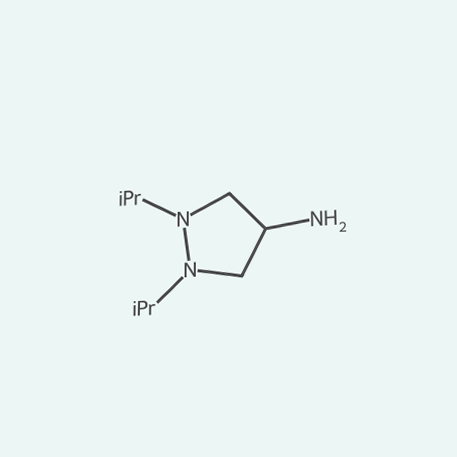 CC(C)N1CC(N)CN1C(C)C